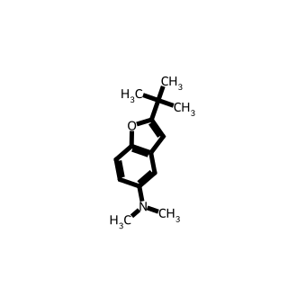 CN(C)c1ccc2oc(C(C)(C)C)cc2c1